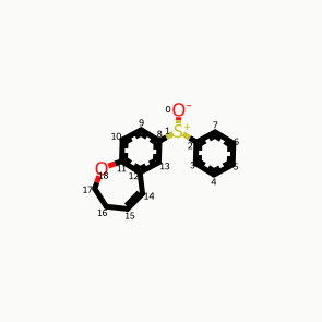 [O-][S+](c1ccccc1)c1ccc2c(c1)C=CCCO2